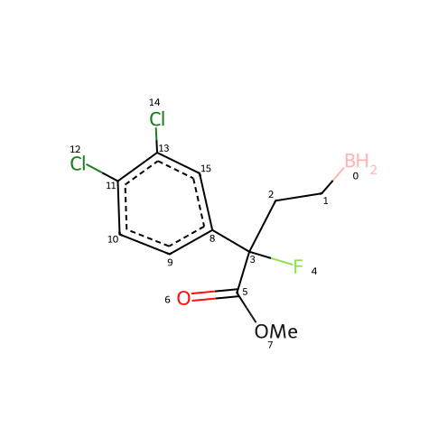 BCCC(F)(C(=O)OC)c1ccc(Cl)c(Cl)c1